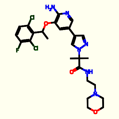 CC(Oc1cc(-c2cnn(C(C)(C)C(=O)NCCN3CCOCC3)c2)cnc1N)c1c(Cl)ccc(F)c1Cl